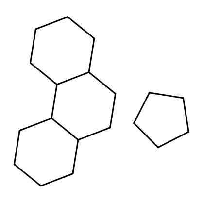 C1CCC2C(C1)CCC1CCCCC12.C1CCCC1